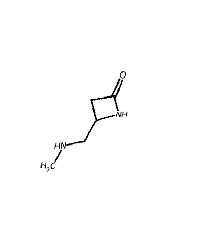 CNCC1CC(=O)N1